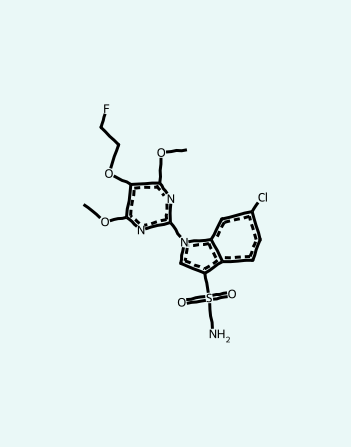 COc1nc(-n2cc(S(N)(=O)=O)c3ccc(Cl)cc32)nc(OC)c1OCCF